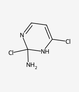 NC1(Cl)N=CC=C(Cl)N1